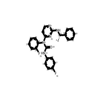 C[C@H](Nc1nccc(N(C(=O)Nc2ccc(F)cc2)c2ccccc2F)n1)c1ccccc1